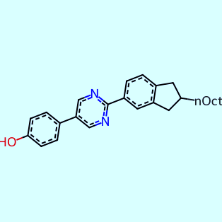 CCCCCCCCC1Cc2ccc(-c3ncc(-c4ccc(O)cc4)cn3)cc2C1